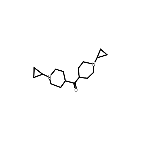 O=C(C1CCN(C2CC2)CC1)C1CCN(C2CC2)CC1